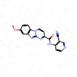 COc1ccc2c(c1)nc1nc(C(=O)Nc3ccncc3C#N)ccn12